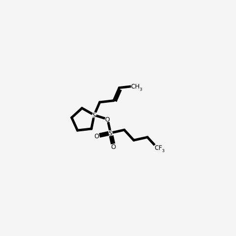 CC=CCS1(OS(=O)(=O)CCCC(F)(F)F)CCCC1